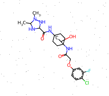 CC1NC(C(=O)NC23CCC(NC(=O)COc4ccc(Cl)c(F)c4)(CC2)C(O)C3)NN1C